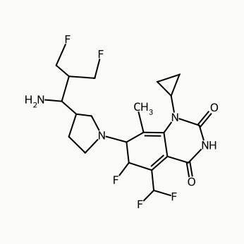 CC1=c2c(c(=O)[nH]c(=O)n2C2CC2)=C(C(F)F)C(F)C1N1CCC(C(N)C(CF)CF)C1